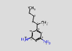 [CH2]C(CCCC)c1cc(N)cc(N)c1